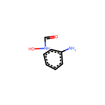 Nc1ccccc1.O=CNO